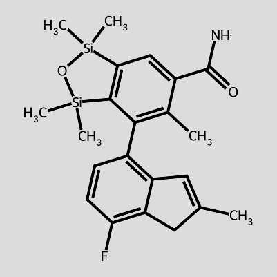 CC1=Cc2c(-c3c(C)c(C([NH])=O)cc4c3[Si](C)(C)O[Si]4(C)C)ccc(F)c2C1